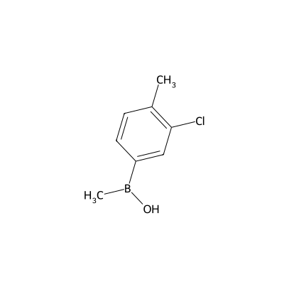 CB(O)c1ccc(C)c(Cl)c1